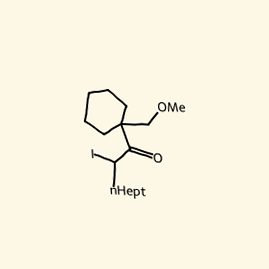 CCCCCCCC(I)C(=O)C1(COC)CCCCC1